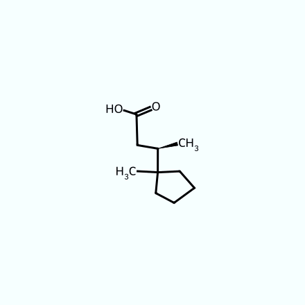 C[C@H](CC(=O)O)C1(C)CCCC1